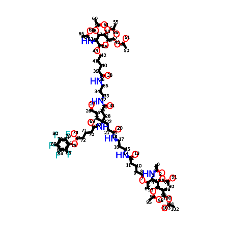 CC(=O)NC(C(C)OCCCCC(=O)NCCCNC(=O)CCC(CCC=O)(CCC(=O)NCCCNC(=O)CCCCOC1OC(COC(C)=O)C(OC(C)=O)C(OC(C)=O)C1NC(C)=O)NC(=O)CCCC(=O)Oc1c(F)c(F)c(F)c(F)c1F)C(OC(C)=O)C(OC(C)=O)C(C)COC(C)=O